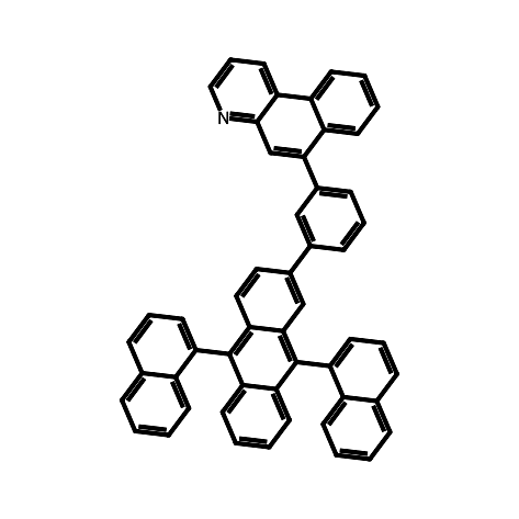 c1cc(-c2ccc3c(-c4cccc5ccccc45)c4ccccc4c(-c4cccc5ccccc45)c3c2)cc(-c2cc3ncccc3c3ccccc23)c1